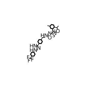 Cc1ccc(C(C)C)c(N2C(=O)CS/C2=N\C(=O)NCCc2ccc(C(=N)/N=C\Nc3ccc(C(F)(F)F)cc3)cc2)c1